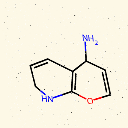 NC1C=COC2=C1C=CCN2